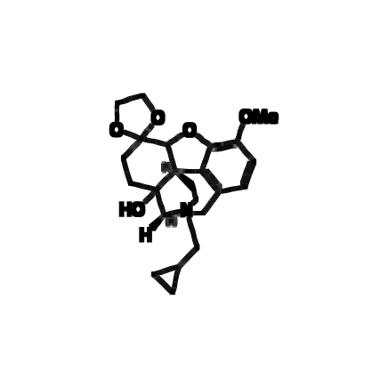 COc1ccc2c3c1OC1C4(CCC5(O)[C@@H](C2)N(CC2CC2)CC[C@]315)OCCO4